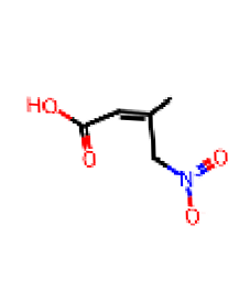 CC(=CC(=O)O)C[N+](=O)[O-]